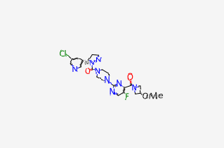 COC1CN(C(=O)c2nc(N3CCN(C(=O)N4N=CC[C@H]4c4cncc(Cl)c4)CC3)ncc2F)C1